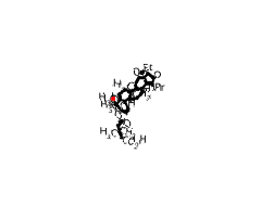 CCC(=O)[C@@]12CC[C@]3(C)[C@H](CC[C@@H]4[C@@]5(C)CC[C@H](OC(=O)CC(C)(C)CC(=O)O)C(C)(C)[C@@H]5CC[C@]43C)C1=C(C(C)C)C(=O)C2